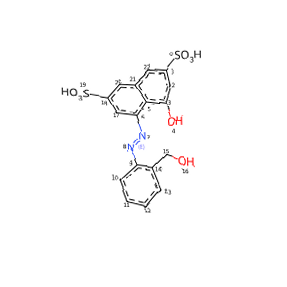 O=S(=O)(O)c1cc(O)c2c(/N=N/c3ccccc3CO)cc(S(=O)(=O)O)cc2c1